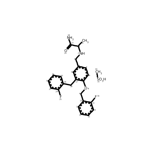 CC(NCc1ccc(OCc2ccccc2F)c(Cc2ccccc2F)c1)C(N)=O.CS(=O)(=O)O